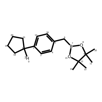 [2H]C1(c2ccc(CB3OC(C)(C)C(C)(C)O3)cc2)CCCC1